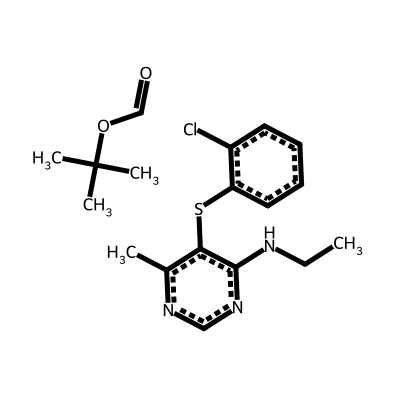 CC(C)(C)OC=O.CCNc1ncnc(C)c1Sc1ccccc1Cl